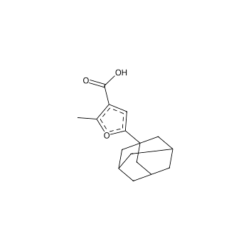 Cc1oc(C23CC4CC(CC(C4)C2)C3)cc1C(=O)O